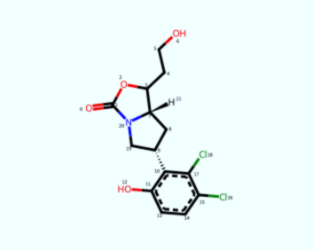 O=C1OC(CCO)[C@@H]2C[C@H](c3c(O)ccc(Cl)c3Cl)CN12